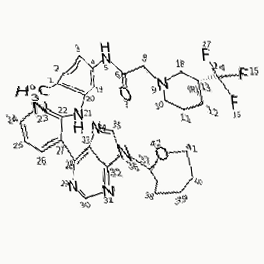 Cc1ccc(NC(=O)CN2CCC[C@@H](C(F)(F)F)C2)cc1Nc1ncccc1-c1ncnc2c1ncn2C1CCCCO1